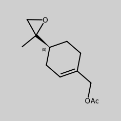 CC(=O)OCC1=CC[C@@H](C2(C)CO2)CC1